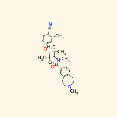 Cc1cc(O[C@H]2C(C)(C)[C@H](N(C)C(=O)c3ccc4c(c3)CCN(C)CC4)C2(C)C)ccc1C#N